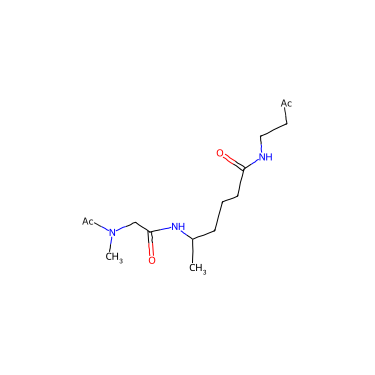 CC(=O)CCNC(=O)CCCC(C)NC(=O)CN(C)C(C)=O